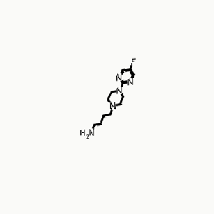 NCCCCN1CCN(c2ncc(F)cn2)CC1